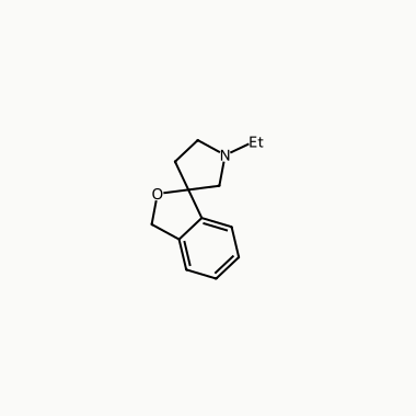 CCN1CCC2(C1)OCc1ccccc12